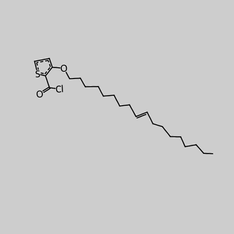 CCCCCCCCC=CCCCCCCCCOc1ccsc1C(=O)Cl